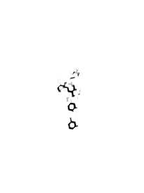 CCC(OCCS(=O)(=O)CC)C1(c2cc3c(Nc4ccc(OCc5cccc(F)c5)c(Cl)c4)ncnc3cn2)CC=CO1